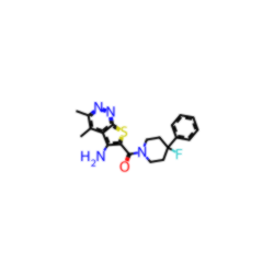 Cc1nnc2sc(C(=O)N3CCC(F)(c4ccccc4)CC3)c(N)c2c1C